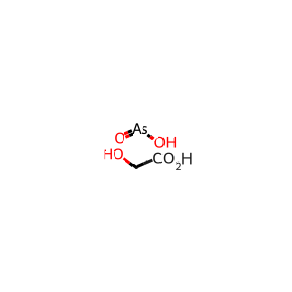 O=C(O)CO.O=[As]O